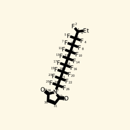 CCC(F)C(F)(F)C(F)(F)C(F)(F)C(F)(F)C(F)(F)C(F)(F)C(F)(F)C(F)(F)N1C(=O)C=CC1=O